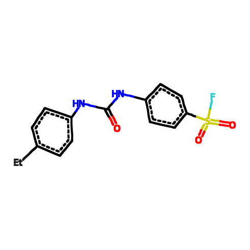 CCc1ccc(NC(=O)Nc2ccc(S(=O)(=O)F)cc2)cc1